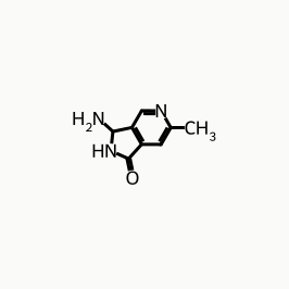 Cc1cc2c(cn1)C(N)NC2=O